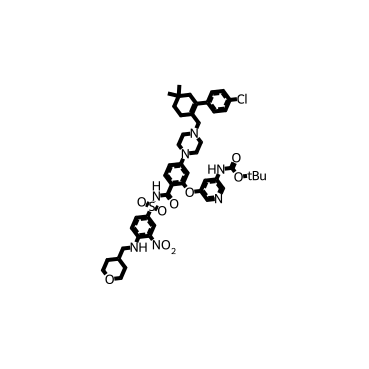 CC1(C)CCC(CN2CCN(c3ccc(C(=O)NS(=O)(=O)c4ccc(NCC5CCOCC5)c([N+](=O)[O-])c4)c(Oc4cncc(NC(=O)OC(C)(C)C)c4)c3)CC2)=C(c2ccc(Cl)cc2)C1